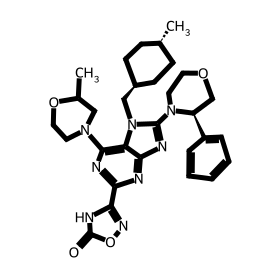 CC1CN(c2nc(-c3noc(=O)[nH]3)nc3nc(N4CCOC[C@H]4c4ccccc4)n(C[C@H]4CC[C@H](C)CC4)c23)CCO1